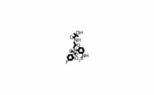 CC(C)(O)C(=O)NCC1CN(S(=O)(=O)c2ccc(F)cc2)c2cc(NC(=O)O)ccc2O1